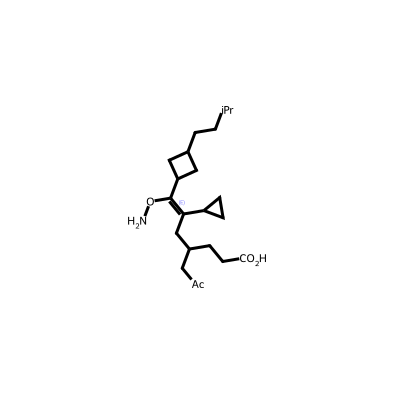 CC(=O)CC(CCC(=O)O)C/C(=C(\ON)C1CC(CCC(C)C)C1)C1CC1